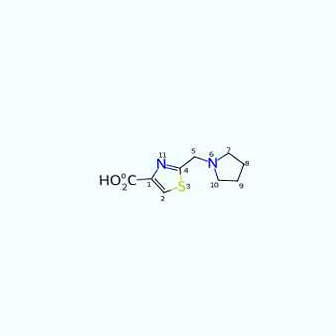 O=C(O)c1csc(CN2CCCC2)n1